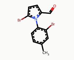 Cc1ccc(-n2c(Br)ccc2C=O)c(Br)c1